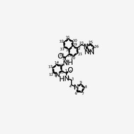 O=C(NCCn1cccc1)c1ncccc1NC(=O)c1ccc(Cn2ccnn2)c2ccccc12